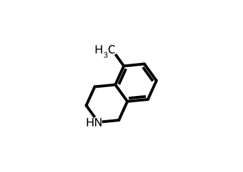 Cc1cccc2c1CCNC2